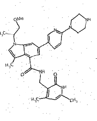 COC[C@@H](C)n1cc(C)c2c(C(=O)NCc3c(C)cc(C)[nH]c3=O)cc(-c3ccc(N4CCNCC4)nc3)cc21